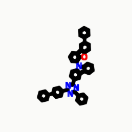 c1ccc(-c2ccc(-c3nc(-c4ccccc4)nc(-c4ccc5c(c4)c4ccccc4n5-c4cccc5c4oc4ccc(-c6ccccc6)cc45)n3)cc2)cc1